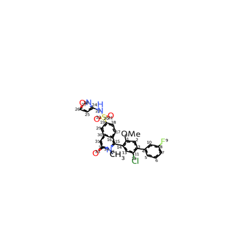 COc1cc(-c2cccc(F)c2)c(Cl)cc1-c1c2ccc(S(=O)(=O)Nc3ccon3)cc2cc(=O)n1C